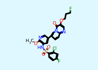 COc1ncc(-c2ccc3ncc(OCCCF)c(=O)n3c2)cc1NS(=O)(=O)c1ccc(F)cc1Cl